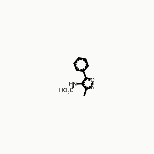 Cc1noc(-c2ccccc2)c1NC(=O)O